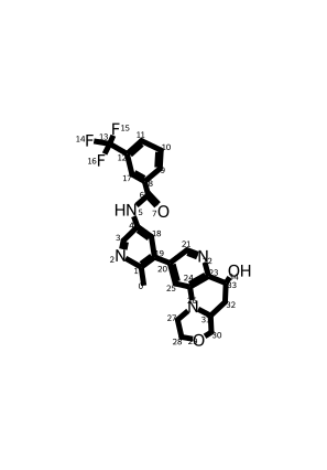 Cc1ncc(NC(=O)c2cccc(C(F)(F)F)c2)cc1-c1cnc2c(c1)N1CCOCC1CC2O